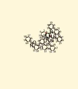 c1ccc(-c2nc(-n3c4ccccc4c4ccccc43)nc(-n3c4ccccc4c4ccc5c6ccccc6n(-c6ccc(-c7ccc(-c8cccc9nc(-c%10ccccc%10)oc89)cc7)cc6)c5c43)n2)cc1